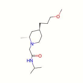 COCCC[C@H]1CCN(CC(=O)NC(C)C)[C@H](C)C1